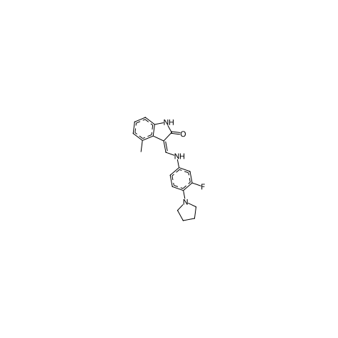 Cc1cccc2c1C(=CNc1ccc(N3CCCC3)c(F)c1)C(=O)N2